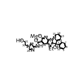 CCn1c(C(O)(c2ccccc2)c2ccccn2)nc2nc(OC)c(C(=O)Nc3ncn(CCO)n3)cc21